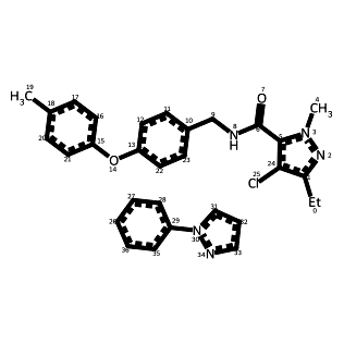 CCc1nn(C)c(C(=O)NCc2ccc(Oc3ccc(C)cc3)cc2)c1Cl.c1ccc(-n2cccn2)cc1